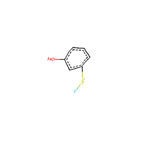 Oc1cccc(SF)c1